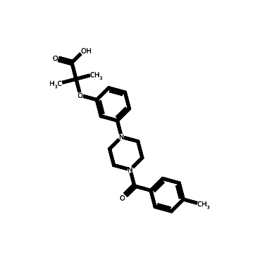 Cc1ccc(C(=O)N2CCN(c3cccc(OC(C)(C)C(=O)O)c3)CC2)cc1